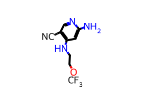 N#Cc1cnc(N)cc1NCCOC(F)(F)F